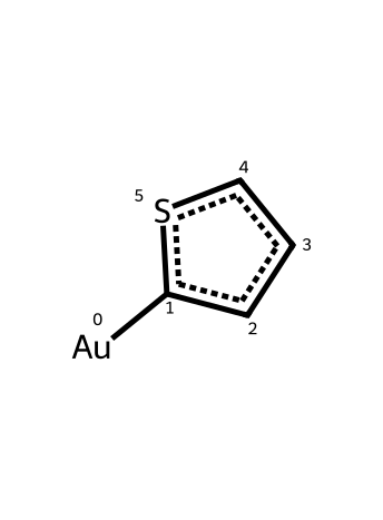 [Au][c]1cccs1